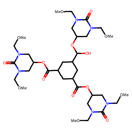 COCN1CC(OC(=O)C2CC(C(=O)OC3CN(COC)C(=O)N(COC)C3)CC(C(O)OC3CN(COC)C(=O)N(COC)C3)C2)CN(COC)C1=O